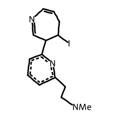 CNCCc1cccc(C2C=NC=CCC2I)n1